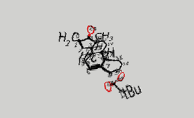 C=C1C[C@H]2[C@@H]3CC=C4C[C@@H](OC(=O)C(C)(C)C)CC[C@]4(C)[C@H]3CC[C@]2(C)C1=O